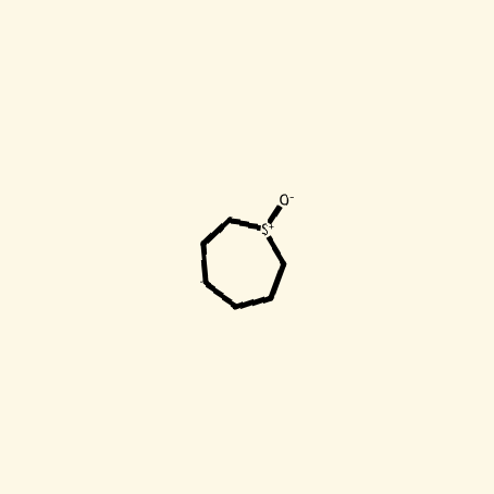 [O-][S+]1CC[CH]CCC1